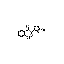 O=C(C(=O)c1ccccc1Cl)c1ccc(Br)s1